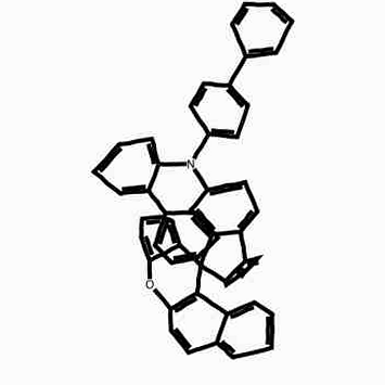 c1ccc(-c2ccc(N(c3ccc4c(c3)C3(c5ccccc5Oc5ccc6ccccc6c53)c3ccccc3-4)c3ccccc3-c3ccccc3)cc2)cc1